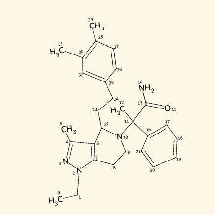 CCn1nc(C)c2c1CCN(C(C)(C(N)=O)c1ccccc1)C2CCc1ccc(C)c(C)c1